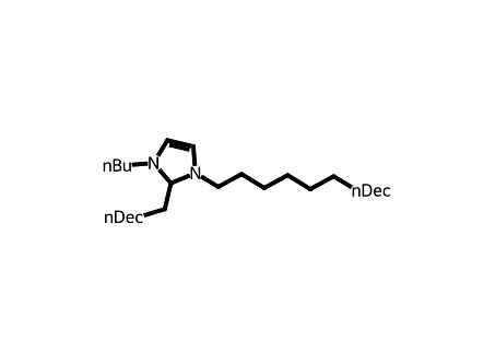 CCCCCCCCCCCCCCCCN1C=CN(CCCC)C1CCCCCCCCCCC